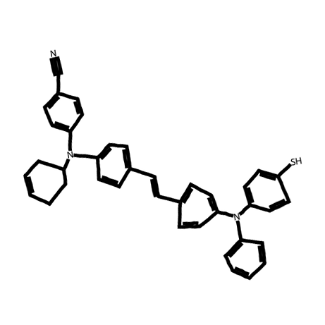 N#Cc1ccc(N(c2ccc(/C=C/c3ccc(N(c4ccccc4)c4ccc(S)cc4)cc3)cc2)C2CC=CCC2)cc1